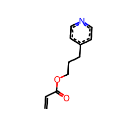 C=CC(=O)OCCCc1ccncc1